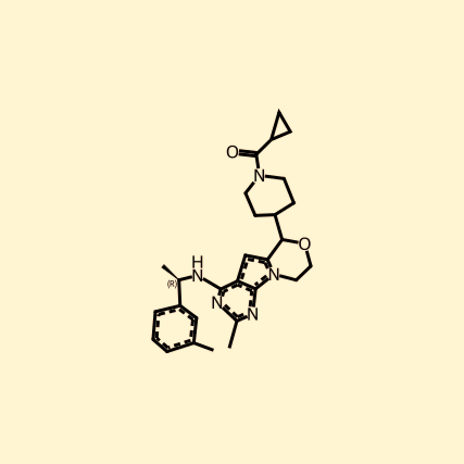 Cc1cccc([C@@H](C)Nc2nc(C)nc3c2cc2n3CCOC2C2CCN(C(=O)C3CC3)CC2)c1